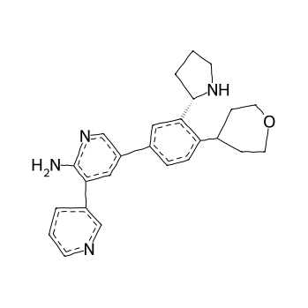 Nc1ncc(-c2ccc(C3CCOCC3)c([C@@H]3CCCN3)c2)cc1-c1cccnc1